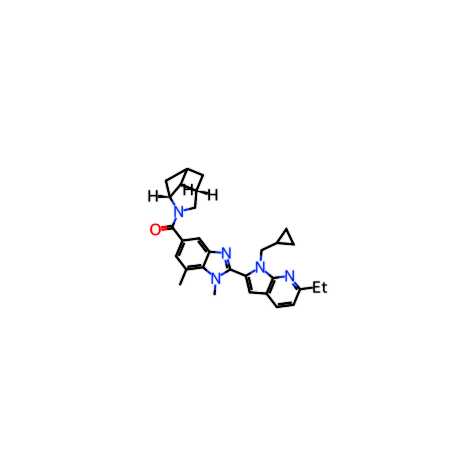 CCc1ccc2cc(-c3nc4cc(C(=O)N5C[C@H]6CC7C[C@@H]5[C@H]76)cc(C)c4n3C)n(CC3CC3)c2n1